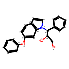 OC[C@@H](O)[C@H](c1ccccc1)n1ccc2ccc(Oc3ccccc3)cc21